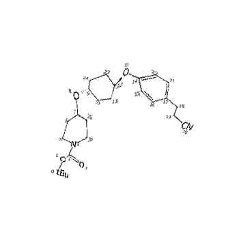 CC(C)(C)OC(=O)N1CCC(O[C@H]2CC[C@H](Oc3ccc(CCC#N)cc3)CC2)CC1